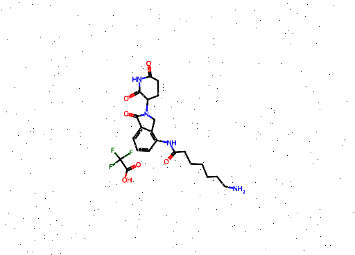 NCCCCCCC(=O)Nc1cccc2c1CN(C1CCC(=O)NC1=O)C2=O.O=C(O)C(F)(F)F